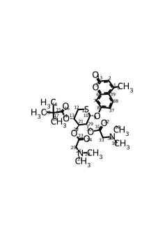 Cc1cc(=O)oc2cc(O[C@H]3SC[C@@H](OC(=O)C(C)(C)C)[C@H](OC(=O)CN(C)C)[C@H]3OC(=O)CN(C)C)ccc12